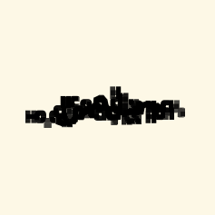 Cc1c(Nc2ncnc3cc(CNCC(C)O)cnc23)cccc1-c1cccc(-c2nc3cc(CN4CCC(C)(C(=O)O)C4)cc(C#N)c3o2)c1C